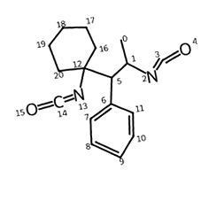 CC(N=C=O)C(c1ccccc1)C1(N=C=O)CCCCC1